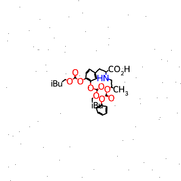 CCC(C)COC(=O)Oc1ccc(C[C@H](NCC(C)OC(=O)Oc2ccccc2)C(=O)O)cc1OC(=O)OCC(C)CC